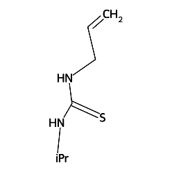 C=CCNC(=S)NC(C)C